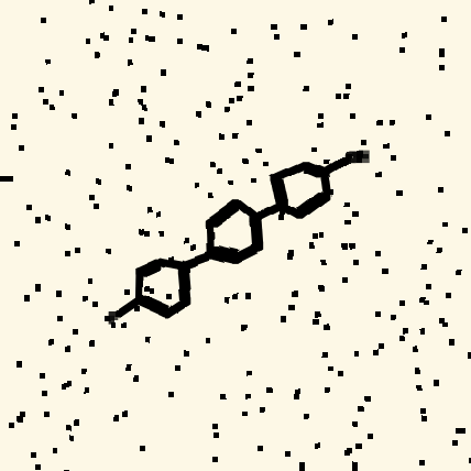 Oc1ccc(-c2ccc(-c3ccc(F)cc3)cc2)cc1